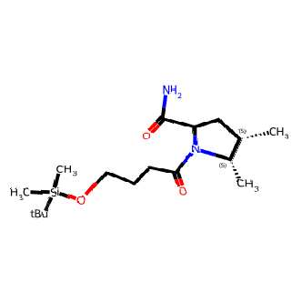 C[C@H]1CC(C(N)=O)N(C(=O)CCCO[Si](C)(C)C(C)(C)C)[C@H]1C